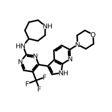 FC(F)(F)c1cnc(NC2CCCNCC2)nc1-c1c[nH]c2nc(N3CCOCC3)ccc12